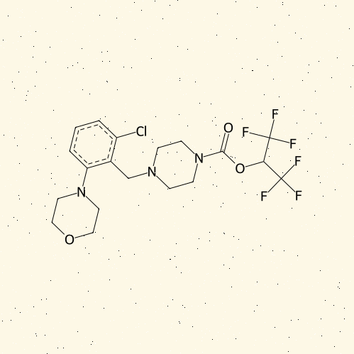 O=C(OC(C(F)(F)F)C(F)(F)F)N1CCN(Cc2c(Cl)cccc2N2CCOCC2)CC1